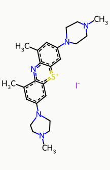 Cc1cc(N2CCN(C)CC2)cc2[s+]c3cc(N4CCN(C)CC4)cc(C)c3nc12.[I-]